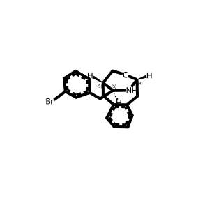 Brc1cccc(C[C@@H]2N[C@@H]3CC[C@H]2Cc2ccccc2C3)c1